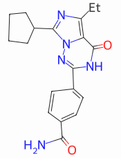 CCc1nc(C2CCCC2)n2nc(-c3ccc(C(N)=O)cc3)[nH]c(=O)c12